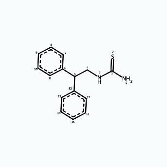 NC(=S)NCC(c1ccccc1)c1ccccc1